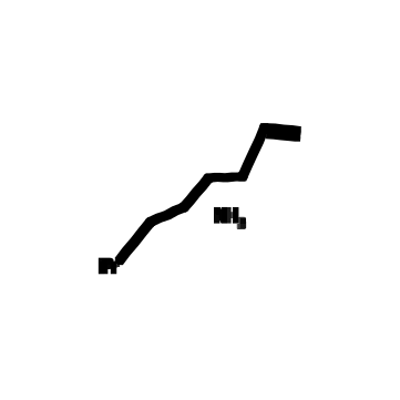 C=CCCCCC(C)C.N